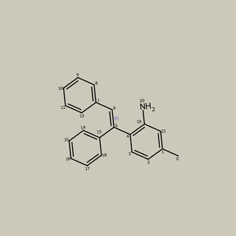 Cc1ccc(/C(=C/c2ccccc2)c2ccccc2)c(N)c1